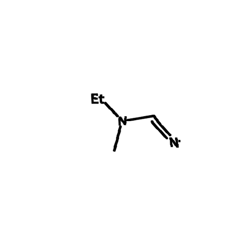 CCN(C)C=[N]